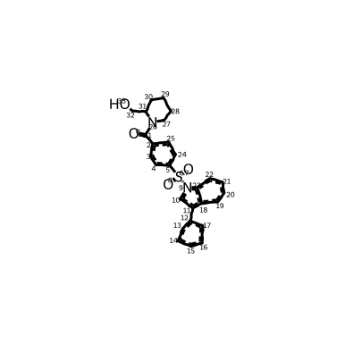 O=C(c1ccc(S(=O)(=O)n2cc(-c3ccccc3)c3ccccc32)cc1)N1CCCCC1CO